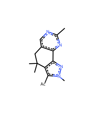 CC(=O)c1c2c(nn1C)-c1nc(C)ncc1CC2(C)C